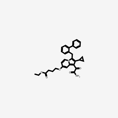 CCOC(=O)CCCOc1ccn2c(Cc3ccccc3-c3ccccc3)c(C3CC3)c(C(=O)C(N)=O)c2c1